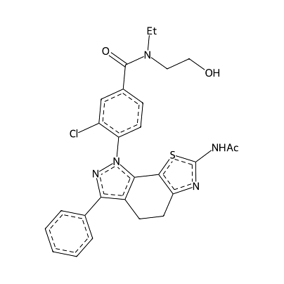 CCN(CCO)C(=O)c1ccc(-n2nc(-c3ccccc3)c3c2-c2sc(NC(C)=O)nc2CC3)c(Cl)c1